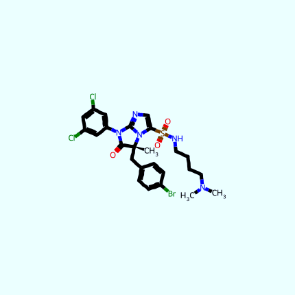 CN(C)CCCCNS(=O)(=O)c1cnc2n1[C@](C)(Cc1ccc(Br)cc1)C(=O)N2c1cc(Cl)cc(Cl)c1